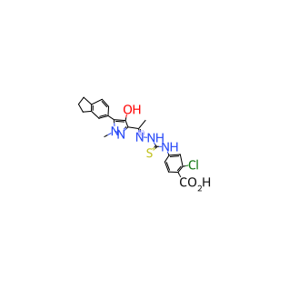 C/C(=N\NC(=S)Nc1ccc(C(=O)O)c(Cl)c1)c1nn(C)c(-c2ccc3c(c2)CCC3)c1O